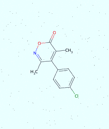 Cc1noc(=O)c(C)c1-c1ccc(Cl)cc1